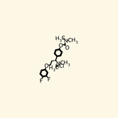 CN(C)C(=O)Oc1ccc([C@H](CCOc2ccc(F)c(F)c2)N(C)C)cc1.Cl